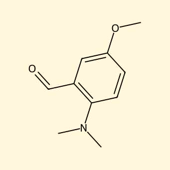 COc1ccc(N(C)C)c(C=O)c1